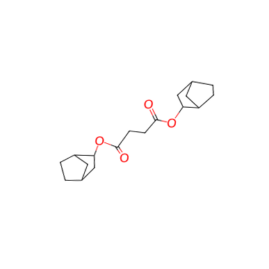 O=C(CCC(=O)OC1CC2CCC1C2)OC1CC2CCC1C2